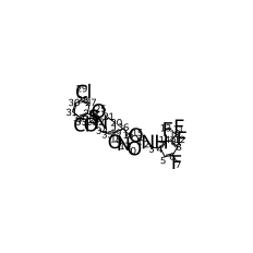 O=C(NCc1cc(F)cc(C(F)(F)F)c1)OC1=NOC2(CCN(S(=O)(=O)c3cc(Cl)ccc3Cl)CC2)C1